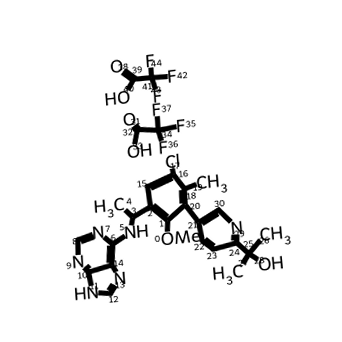 COc1c(C(C)Nc2ncnc3[nH]cnc23)cc(Cl)c(C)c1-c1ccc(C(C)(C)O)nc1.O=C(O)C(F)(F)F.O=C(O)C(F)(F)F